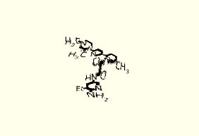 CCc1cc(NC(=O)C(=O)N2C[C@@H](C)CC[C@@H]2c2ccc(N3CCN(C)C[C@@H]3C)nc2)cnc1N